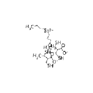 CC(S)C(CS)C(=O)[O-].CC(S)C(CS)C(=O)[O-].CCC[CH2][Sn+2][CH2]CCC